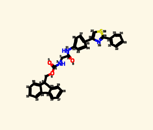 O=C(CNC(=O)OCC1c2ccccc2-c2ccccc21)Nc1ccc(-c2csc(-c3ccccc3)n2)cc1